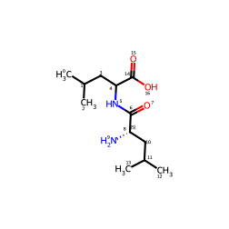 CC(C)CC(NC(=O)[C@@H](N)CC(C)C)C(=O)O